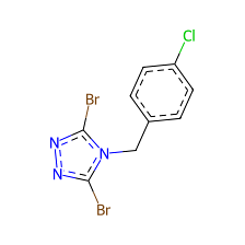 Clc1ccc(Cn2c(Br)nnc2Br)cc1